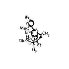 CC[C@H](n1cc(C)c2nc(-c3ccc(C(C)C)nc3OC)c(Br)cc21)C(C)(C)O[SiH2]C(C)(C)C